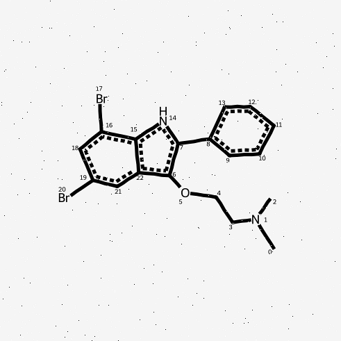 CN(C)CCOc1c(-c2ccccc2)[nH]c2c(Br)cc(Br)cc12